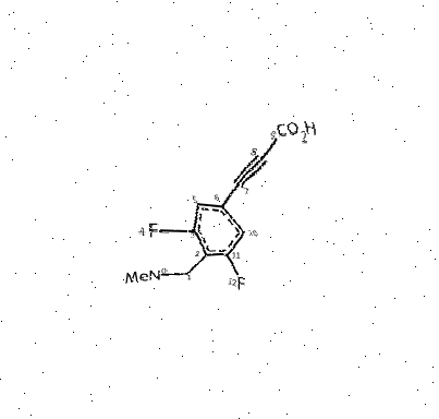 CNCc1c(F)cc(C#CC(=O)O)cc1F